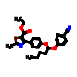 CCCCC(Oc1ccc(C#N)cc1)Oc1ccc(-c2nc(C)sc2C(=O)OCC)cc1